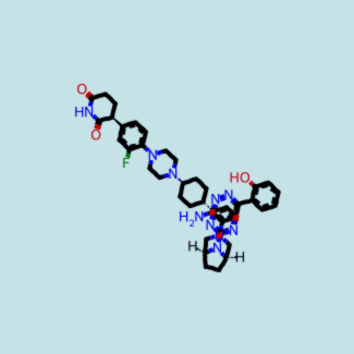 Nc1nnc(-c2ccccc2O)cc1N1C[C@H]2CC[C@@H](C1)N2c1nccc([C@H]2CC[C@@H](N3CCN(c4ccc([C@@H]5CCC(=O)NC5=O)cc4F)CC3)CC2)n1